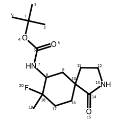 CC(C)(C)OC(=O)NC1CC2(CCNC2=O)CCC1(C)F